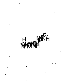 CCc1cc2ncc(CN3CCN(c4ccc(-c5cnc(C)[nH]5)nc4)[C@@H]4C[C@@H]43)cc2[nH]c1=O